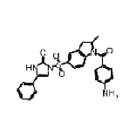 CC1Cc2cc(S(=O)(=O)n3cc(-c4ccccc4)[nH]c3=O)ccc2N1C(=O)c1ccc(N)cc1